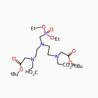 CCOP(=O)(CN(CCN(CC(=O)O)CC(=O)OC(C)(C)C)CCN(CC(=O)O)CC(=O)OC(C)(C)C)OCC